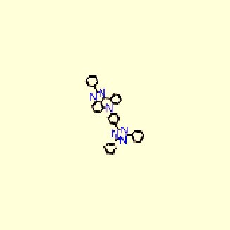 c1ccc(-c2nc(-c3ccccc3)nc(-c3ccc(N4c5ccccc5-c5nc(-c6ccccc6)nc6cccc4c56)cc3)n2)cc1